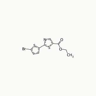 CCOC(=O)c1cnc(-c2ccc(Br)s2)s1